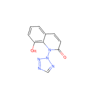 O=c1ccc2cccc(O)c2n1-n1ncnn1